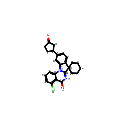 O=C1CCC(c2ccc3c(c2)-n2c(nc(=O)c4c(Cl)cccc42)C32CCCCC2)C1